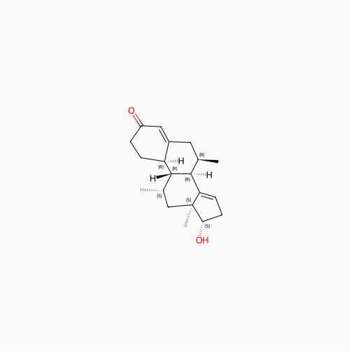 C[C@@H]1CC2=CC(=O)CC[C@@H]2[C@@H]2[C@@H]1C1=CC[C@H](O)[C@@]1(C)C[C@@H]2C